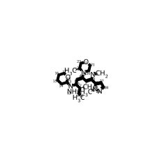 C=N/C(=C\C(=CC([C@H](C)CC)N(N)C1CCCCO1)N1CCOC[C@H]1C)c1ccnn1C